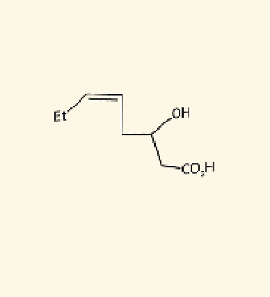 CC/C=C\CC(O)CC(=O)O